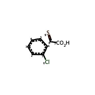 Clc1ccccc1.O=C(O)C=S